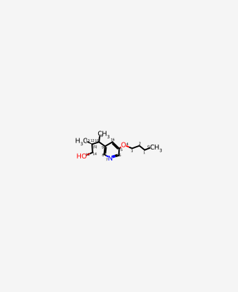 CCCCOc1cncc(C(C)[C@H](C)CO)c1